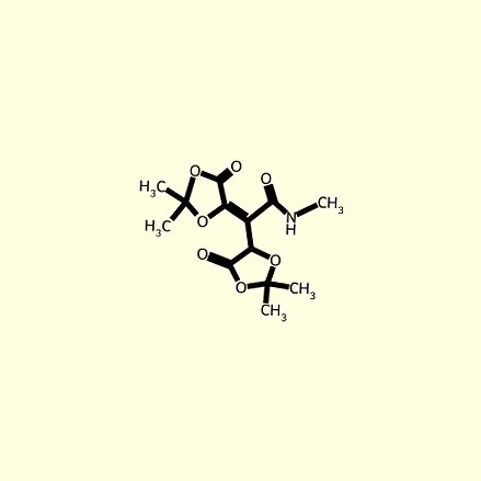 CNC(=O)C(=C1OC(C)(C)OC1=O)C1OC(C)(C)OC1=O